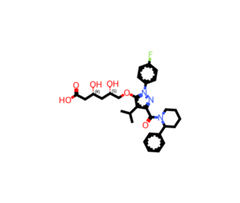 CC(C)c1c(C(=O)N2CCCCC2c2ccccc2)nn(-c2ccc(F)cc2)c1OC[C@@H](O)C[C@@H](O)CC(=O)O